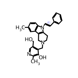 Cc1ccc2c(c1)c1c(n2/C=C/c2ccccc2)CCN(Cc2c(CO)cnc(C)c2O)C1